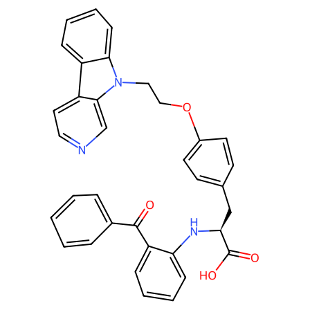 O=C(c1ccccc1)c1ccccc1N[C@@H](Cc1ccc(OCCn2c3ccccc3c3ccncc32)cc1)C(=O)O